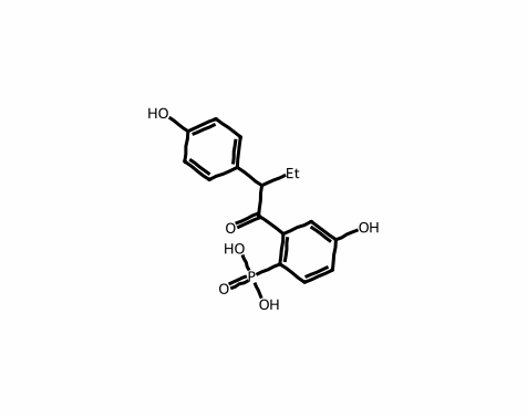 CCC(C(=O)c1cc(O)ccc1P(=O)(O)O)c1ccc(O)cc1